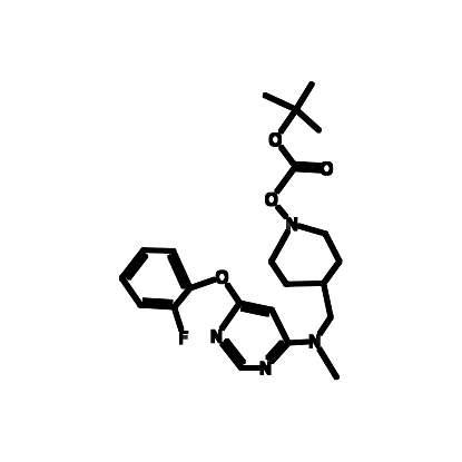 CN(CC1CCN(OC(=O)OC(C)(C)C)CC1)c1cc(Oc2ccccc2F)ncn1